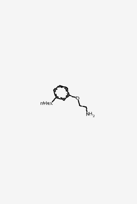 CCCCCCc1cccc(OCCN)c1